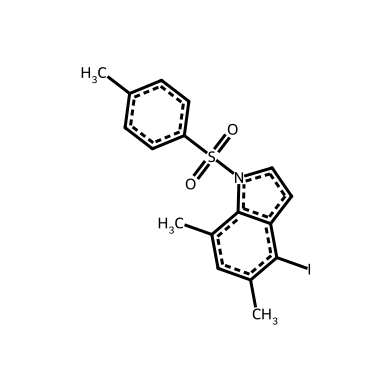 Cc1ccc(S(=O)(=O)n2ccc3c(I)c(C)cc(C)c32)cc1